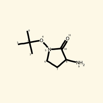 CC(C)(C)ON1CCC(N)C1=O